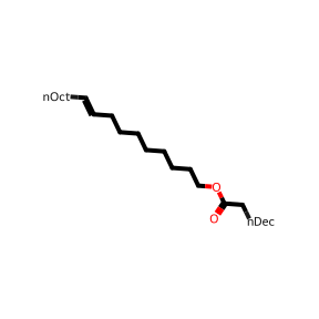 CCCCCCCCC=CCCCCCCCCOC(=O)CCCCCCCCCCC